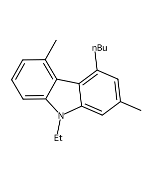 CCCCc1cc(C)cc2c1c1c(C)cccc1n2CC